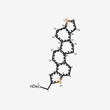 CCCCCCCCCCCc1cc2c(ccc3c2ccc2c4ccc5sccc5c4ccc32)s1